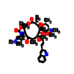 CC[C@H]1OC(=O)[C@H](C)C(=O)[C@H](C)[C@@H](O[C@]2(O)CO[C@H](C)C[C@@H]2N(C)C)[C@](C)(OC/C=C/c2cnc3ccccc3c2)C[C@@H](C)C(=O)[C@H](C)[C@H]2N(CCN(C)CC)C(=O)O[C@]12C